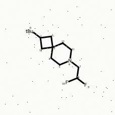 CC(C)(C)C1CC2(CCN(CC(F)F)CC2)C1